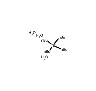 CCCC[N+](CCCC)(CCCC)CCCC.O.O.O